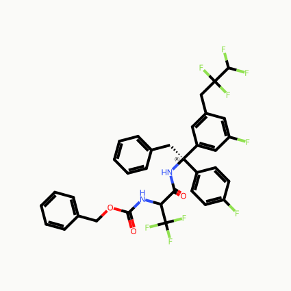 O=C(NC(C(=O)N[C@](Cc1ccccc1)(c1ccc(F)cc1)c1cc(F)cc(CC(F)(F)C(F)F)c1)C(F)(F)F)OCc1ccccc1